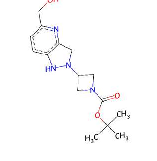 CC(C)(C)OC(=O)N1CC(N2Cc3nc(CO)ccc3N2)C1